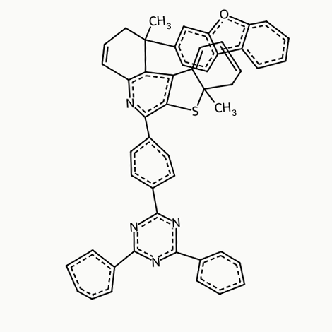 CC12CC=CC=C1c1c(c(-c3ccc(-c4nc(-c5ccccc5)nc(-c5ccccc5)n4)cc3)nc3c1C(C)(c1ccc4c(c1)oc1ccccc14)CC=C3)S2